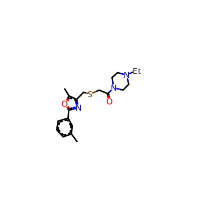 CCN1CCN(C(=O)CSCc2nc(-c3cccc(C)c3)oc2C)CC1